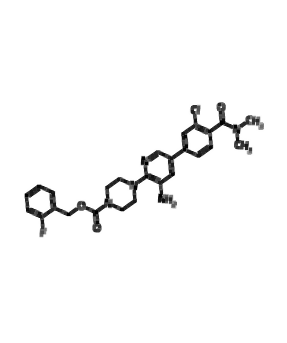 CN(C)C(=O)c1ccc(-c2cnc(N3CCN(C(=O)OCc4ccccc4F)CC3)c(N)c2)cc1Cl